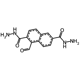 NNC(=O)c1ccc2c(C=O)c(C(=O)NN)ccc2c1